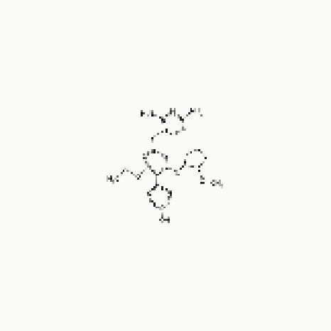 CCOc1cc(Cc2cnc(N)nc2N)cc(OC2CCCC2OC)c1-c1ccc(O)cc1